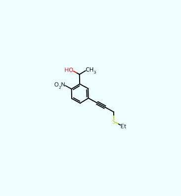 CCSCC#Cc1ccc([N+](=O)[O-])c(C(C)O)c1